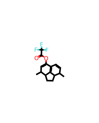 CC1C=CC2=C3C1CCC3C(C)C=C2OC(=O)C(F)(F)F